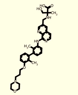 Cc1c(Nc2nccc3cc(CNC(C)(CO)C(=O)O)cnc23)cccc1-c1cccc(OCCCN2CCOCC2)c1C